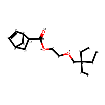 CCC(CC)(CC)COCCOC(=O)C1CC2C=CC1C2